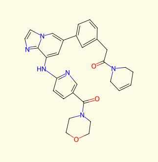 O=C(Cc1cccc(-c2cc(Nc3ccc(C(=O)N4CCOCC4)cn3)c3nccn3c2)c1)N1CC=CCC1